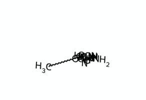 CCCCCCCCCCCCCCCCCCOCCOP(=O)(O)OC[C@@]1(C#N)O[C@@H](c2ccc3c(N)ncnn23)[C@H](O)[C@@H]1O